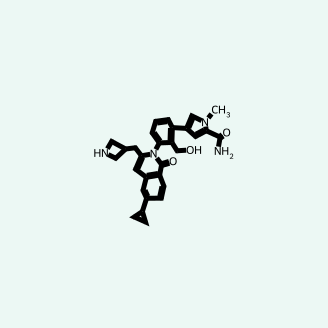 Cn1cc(-c2cccc(-n3c(CC4CNC4)cc4cc(C5CC5)ccc4c3=O)c2CO)cc1C(N)=O